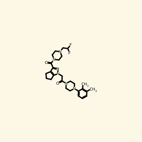 Cc1cccc(N2CCN(C(=O)Cn3nc(C(=O)N4CCN(CC(F)F)CC4)c4c3CCC4)CC2)c1C